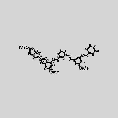 COc1cc(COc2cccc(COc3cc(OC)cc4oc(-c5cn6nc(OC)sc6n5)cc34)c2)cc(OCc2ccccc2)c1